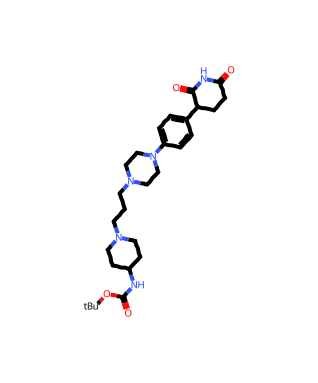 CC(C)(C)OC(=O)NC1CCN(CCCN2CCN(c3ccc(C4CCC(=O)NC4=O)cc3)CC2)CC1